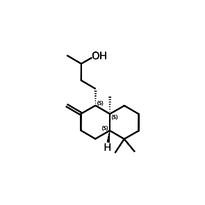 C=C1CC[C@H]2C(C)(C)CCC[C@]2(C)[C@H]1CCC(C)O